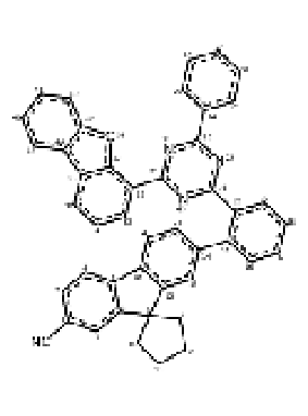 N#Cc1ccc2c(c1)C1(CCCC1)c1cc(-c3ccccc3-c3nc(-c4ccccc4)nc(-c4cccc5c4oc4ccccc45)n3)ccc1-2